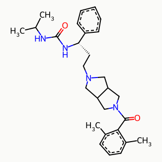 Cc1cccc(C)c1C(=O)N1CC2CN(CC[C@H](NC(=O)NC(C)C)c3ccccc3)CC2C1